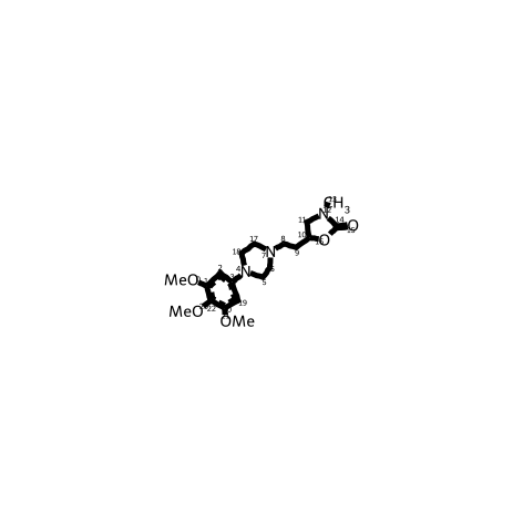 COc1cc(N2CCN(CCC3CN(C)C(=O)O3)CC2)cc(OC)c1OC